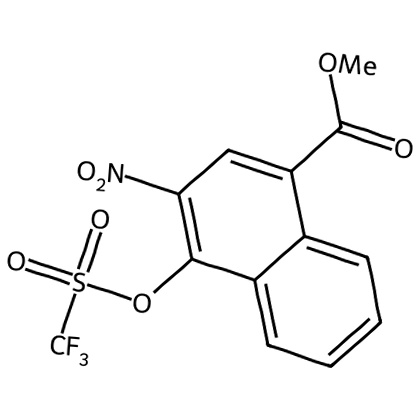 COC(=O)c1cc([N+](=O)[O-])c(OS(=O)(=O)C(F)(F)F)c2ccccc12